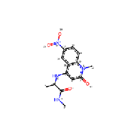 CNC(=O)C(C)Nc1cc(=O)n(C)c2ccc([N+](=O)[O-])cc12